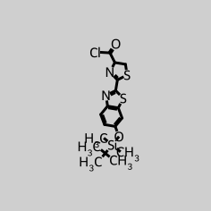 CC(C)(C)[Si](C)(C)Oc1ccc2nc(C3=NC(C(=O)Cl)CS3)sc2c1